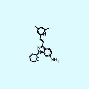 Cc1cc(C)nc(/C=C/c2nn(C3CCCCO3)c3cc(N)ccc23)c1